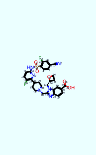 N#Cc1ccc(S(=O)(=O)Nc2ccc(F)c(C3CCN(Cc4nc5ccc(C(=O)O)cc5n4C[C@@H]4CCO4)CC3)n2)c(F)c1